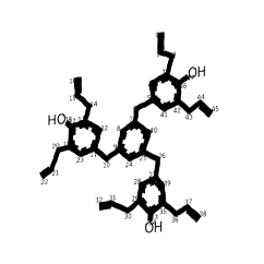 C=CCc1cc(Cc2cc(Cc3cc(CC=C)c(O)c(CC=C)c3)cc(Cc3cc(CC=C)c(O)c(CC=C)c3)c2)cc(CC=C)c1O